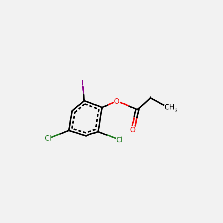 C[CH]C(=O)Oc1c(Cl)cc(Cl)cc1I